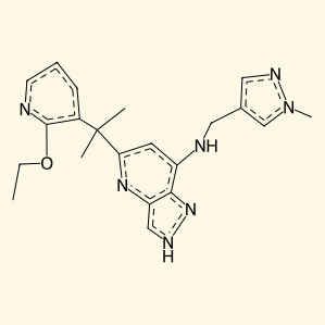 CCOc1ncccc1C(C)(C)c1cc(NCc2cnn(C)c2)c2n[nH]cc2n1